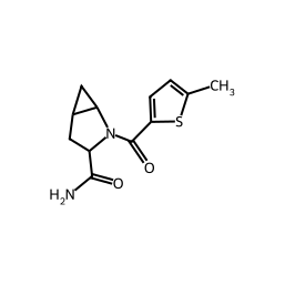 Cc1ccc(C(=O)N2C(C(N)=O)CC3CC32)s1